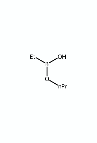 CCCOB(O)CC